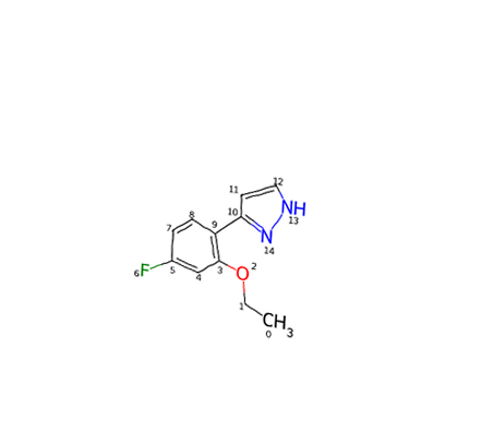 CCOc1cc(F)ccc1-c1cc[nH]n1